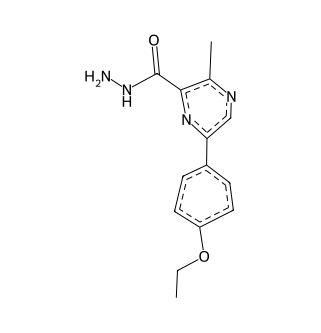 CCOc1ccc(-c2cnc(C)c(C(=O)NN)n2)cc1